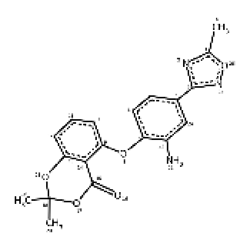 Cc1nc(-c2ccc(Oc3cccc4c3C(=O)OC(C)(C)O4)c(N)c2)no1